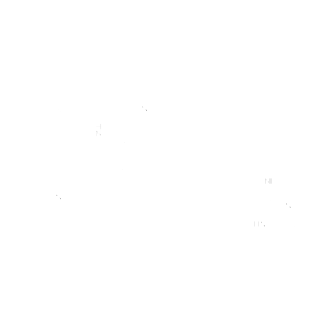 O=C(O)CC(NC(=O)C1=NOC(CCCCNc2ncc[nH]2)C1)c1cccnc1